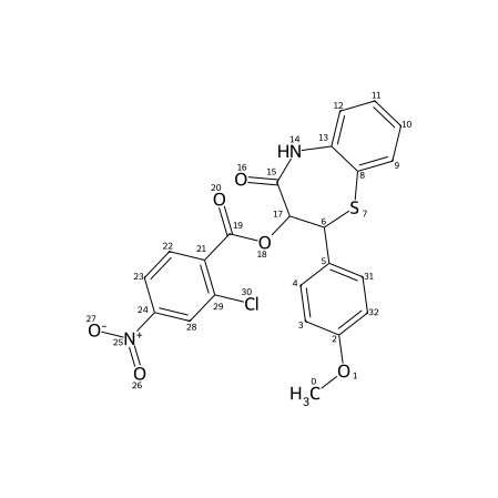 COc1ccc(C2Sc3ccccc3NC(=O)C2OC(=O)c2ccc([N+](=O)[O-])cc2Cl)cc1